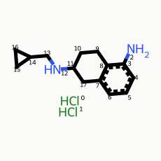 Cl.Cl.Nc1cccc2c1CCC(NCC1CC1)C2